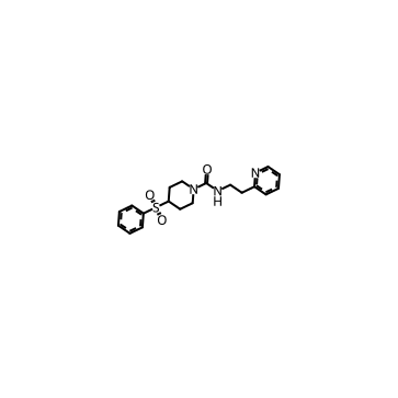 O=C(NCCc1ccccn1)N1CCC(S(=O)(=O)c2ccccc2)CC1